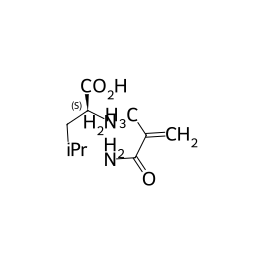 C=C(C)C(N)=O.CC(C)C[C@H](N)C(=O)O